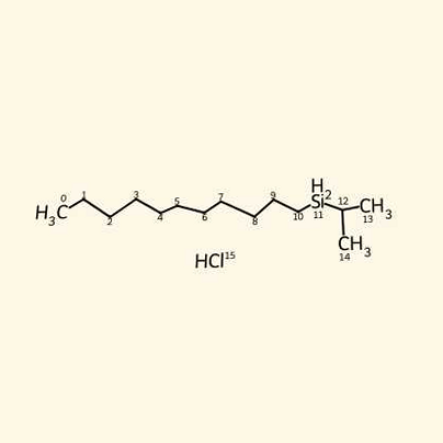 CCCCCCCCCCC[SiH2]C(C)C.Cl